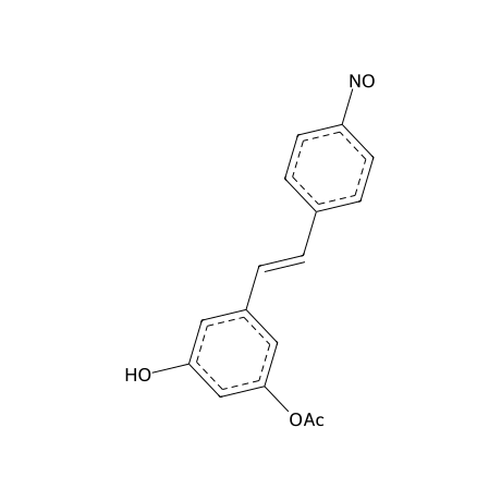 CC(=O)Oc1cc(O)cc(/C=C/c2ccc(N=O)cc2)c1